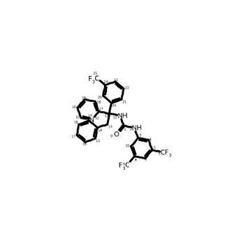 O=C(Nc1cc(C(F)(F)F)cc(C(F)(F)F)c1)NC(Cc1ccccc1)(c1cccc(C(F)(F)F)c1)c1ccccn1